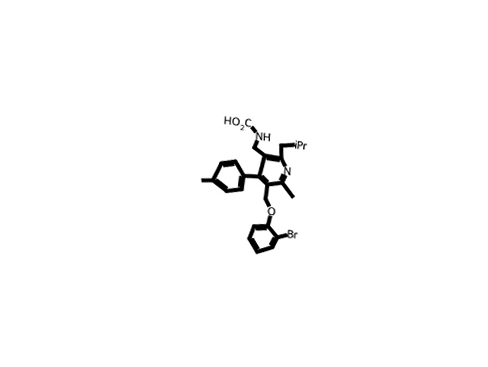 Cc1ccc(-c2c(COc3ccccc3Br)c(C)nc(CC(C)C)c2CNC(=O)O)cc1